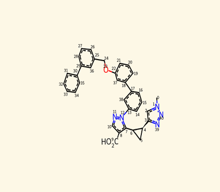 Cn1cc([C@H]2CC2c2c(C(=O)O)cnn2-c2cccc(-c3cccc(OCc4cccc(-c5ccccc5)c4)c3)c2)nn1